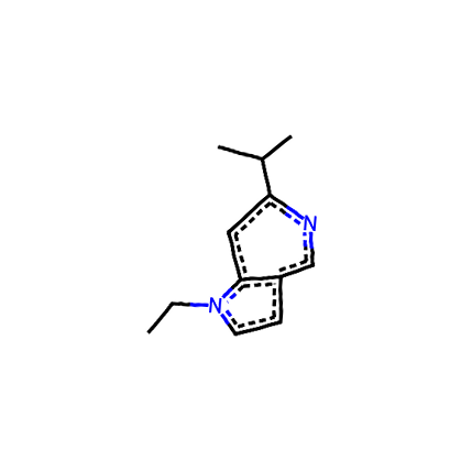 CCn1ccc2cnc(C(C)C)cc21